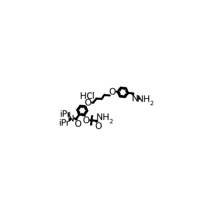 CC(C)N(C(=O)c1ccc(OCCCCCOc2ccc(C=NN)cc2)cc1OC(C)(C)C(N)=O)C(C)C.Cl